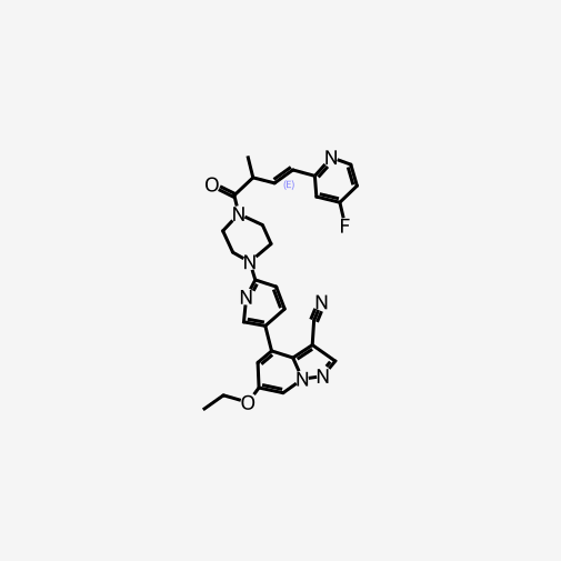 CCOc1cc(-c2ccc(N3CCN(C(=O)C(C)/C=C/c4cc(F)ccn4)CC3)nc2)c2c(C#N)cnn2c1